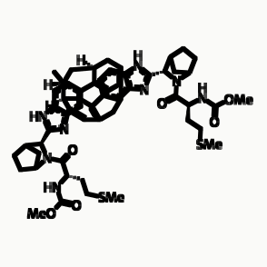 COC(=O)N[C@@H](CCSC)C(=O)N1C2CCC(C2)[C@H]1c1nc2cc(C3=CC4=CC[C@@H]3C[C@@H](C)[C@@H]3C=CC(=C(c5ccc6[nH]c([C@@H]7C8CCC(C8)N7C(=O)[C@H](CCSC)NC(=O)OC)nc6c5)C3)CC4)ccc2[nH]1